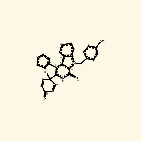 Cc1ccc(Cn2c3ccccc3c3c(-c4ccccc4)c(C4(O)C=CC(=O)C=C4)[nH]c(=O)c32)cc1